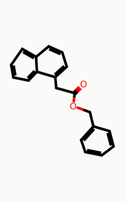 O=C(Cc1cccc2ccccc12)OCc1ccccc1